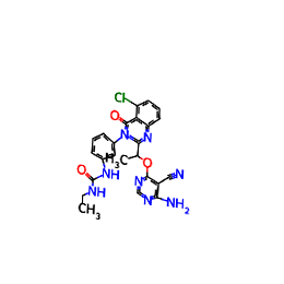 CCNC(=O)Nc1cccc(-n2c(C(C)Oc3ncnc(N)c3C#N)nc3cccc(Cl)c3c2=O)c1